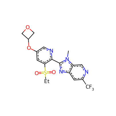 CCS(=O)(=O)c1cc(OC2COC2)cnc1-c1nc2cc(C(F)(F)F)ncc2n1C